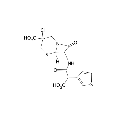 O=C(O)C(C(=O)NC1C(=O)N2CC(Cl)(C(=O)O)CS[C@H]12)c1ccsc1